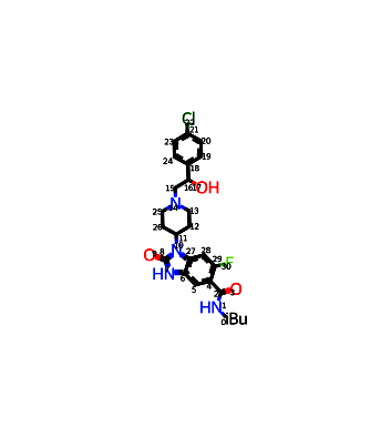 CCC(C)NC(=O)c1cc2[nH]c(=O)n(C3CCN(CC(O)c4ccc(Cl)cc4)CC3)c2cc1F